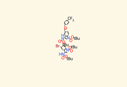 CC(C)(C)OC(=O)Nc1cn(C(=O)OC(C)(C)C)c2ccc(Br)cc12.CC(C)(C)OC(=O)Nc1cn(C(=O)OC(C)(C)C)c2ccc(COCc3ccc(C(F)(F)F)cc3)cc12